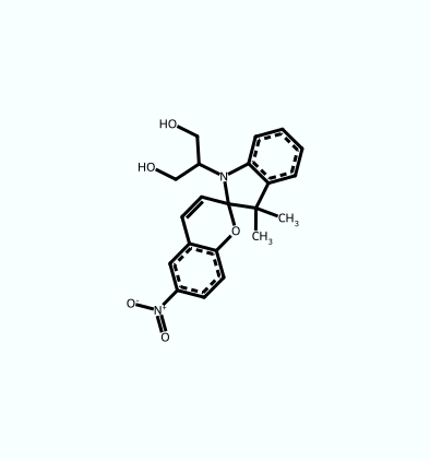 CC1(C)c2ccccc2N(C(CO)CO)C12C=Cc1cc([N+](=O)[O-])ccc1O2